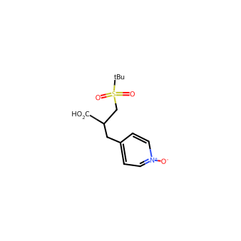 CC(C)(C)S(=O)(=O)CC(Cc1cc[n+]([O-])cc1)C(=O)O